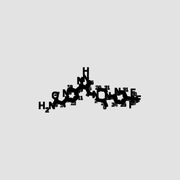 CC1CN(Cc2c[nH]nc2-c2ccc(CC(N)=O)nc2)CCN1c1ccc(C(F)(F)F)cn1